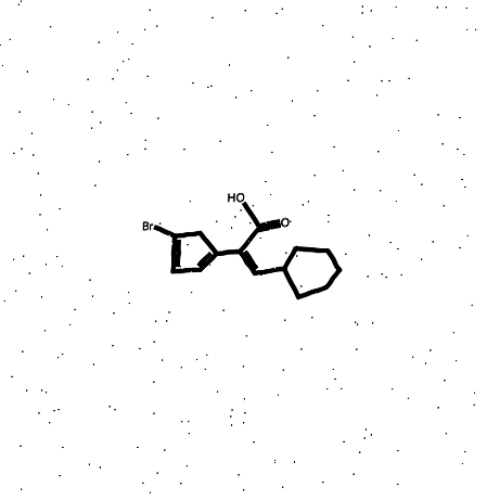 O=C(O)C(=CC1CCCCC1)C1=CC=C(Br)C1